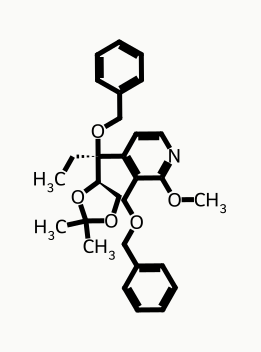 CC[C@](OCc1ccccc1)(c1ccnc(OC)c1COCc1ccccc1)[C@H]1COC(C)(C)O1